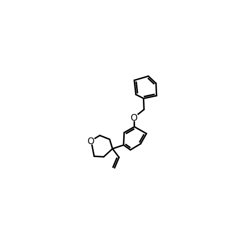 C=CC1(c2cccc(OCc3ccccc3)c2)CCOCC1